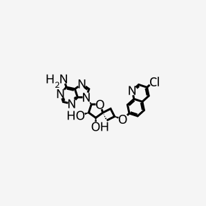 Nc1ncnc2c1ncn2[C@@H]1O[C@]2(C[C@H](Oc3ccc4cc(Cl)cnc4c3)C2)[C@@H](O)[C@H]1O